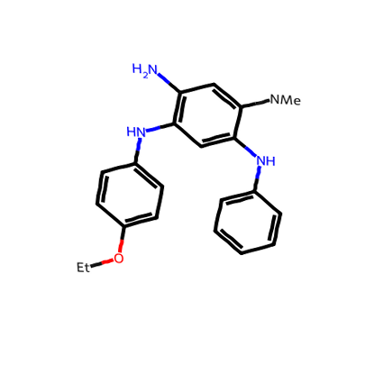 CCOc1ccc(Nc2cc(Nc3ccccc3)c(NC)cc2N)cc1